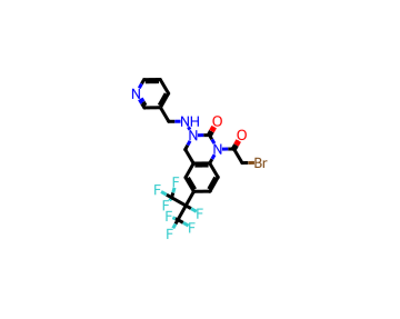 O=C(CBr)N1C(=O)N(NCc2cccnc2)Cc2cc(C(F)(C(F)(F)F)C(F)(F)F)ccc21